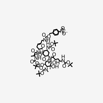 CC(NC(=O)OC(C)(C)C)C(=O)N[C@@H]1CC=C(CNC(=O)OCc2ccc([N+](=O)[O-])cc2)OC1[C@H]1[C@H](O)[C@@H](O[C@H]2OC[C@](C)(O)[C@H](N(C)C(=O)OC(C)(C)C)[C@H]2O)[C@H](NC(=O)[C@@H](O)CCNC(=O)OC(C)(C)C)C[C@@H]1NC(=O)OC(C)(C)C